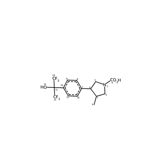 CC1CN(C(=O)O)CC1c1ccc(C(O)(C(F)(F)F)C(F)(F)F)cc1